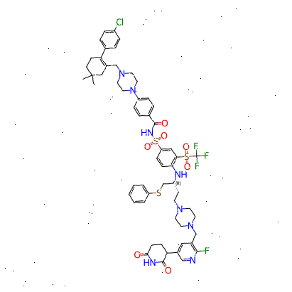 CC1(C)CCC(c2ccc(Cl)cc2)=C(CN2CCN(c3ccc(C(=O)NS(=O)(=O)c4ccc(N[C@H](CCN5CCN(Cc6cc(C7CCC(=O)NC7=O)cnc6F)CC5)CSc5ccccc5)c(S(=O)(=O)C(F)(F)F)c4)cc3)CC2)C1